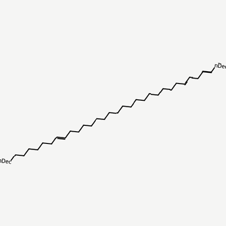 CCCCCCCCCCCCCCCCC=CCCCCCCCCCCCCCCCCCCCCCCCCCCCCCCCC